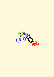 C=C(NC(=O)c1ccc(OS(C)(=O)=O)cc1)S/C(=C\N)C(F)(F)F